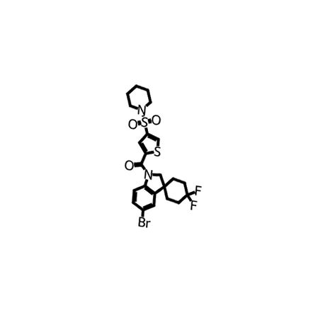 O=C(c1cc(S(=O)(=O)N2CCCCC2)cs1)N1CC2(CCC(F)(F)CC2)c2cc(Br)ccc21